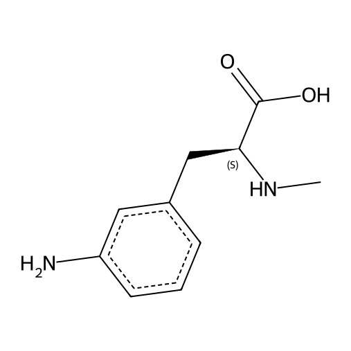 CN[C@@H](Cc1cccc(N)c1)C(=O)O